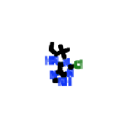 CCC(Nc1nc(Cl)nc2[nH]cnc12)C(C)(C)C